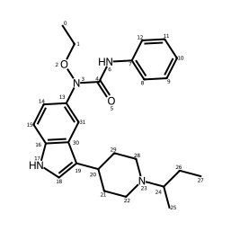 CCON(C(=O)Nc1ccccc1)c1ccc2[nH]cc(C3CCN(C(C)CC)CC3)c2c1